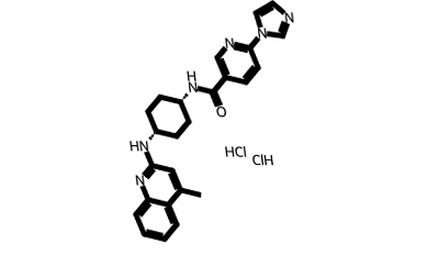 Cc1cc(N[C@H]2CC[C@@H](NC(=O)c3ccc(-n4ccnc4)nc3)CC2)nc2ccccc12.Cl.Cl